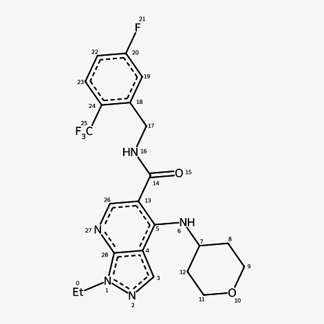 CCn1ncc2c(NC3CCOCC3)c(C(=O)NCc3cc(F)ccc3C(F)(F)F)cnc21